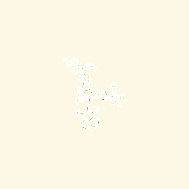 COC(=O)N(C)c1cc2cc3c(cc2s1)C(C)(CF)/C(=C\C=c1c(=O)c2cccc4cccc(c1=O)c42)N3c1ccc(C(C)(C)C)cc1